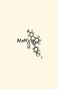 CNCC(O)C(c1cccc(F)c1)n1cc(-c2ccc(C(F)(F)F)cc2)c2ccccc21